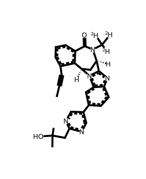 [2H]C([2H])([2H])N1C(=O)c2cccc(C#CC)c2[C@H]2C[C@@H]1c1nc3ccc(-c4cnc(CC(C)(C)O)nc4)cc3n12